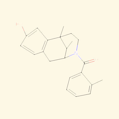 Cc1ccccc1C(=O)N1CCC2(C)c3cc(O)ccc3CC1C2C